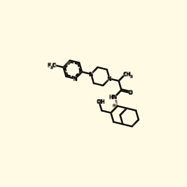 CC(C(=O)N[C@H]1C(CO)CC2CCCC1C2)N1CCN(c2ccc(C(F)(F)F)cn2)CC1